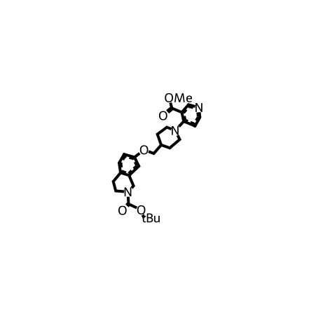 COC(=O)c1cnccc1N1CCC(COc2ccc3c(c2)CN(C(=O)OC(C)(C)C)CC3)CC1